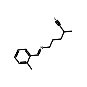 Cc1ccccc1/C=N/CCCC(C)C#N